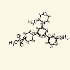 CC1COCCN1c1cc(C2CCN(S(C)(=O)=O)CC2)nc(-c2ccnc(N)c2)n1